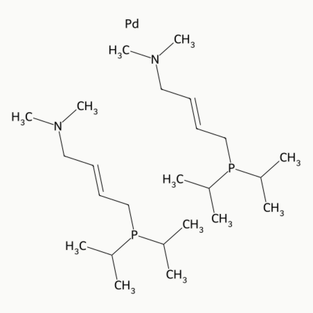 CC(C)P(CC=CCN(C)C)C(C)C.CC(C)P(CC=CCN(C)C)C(C)C.[Pd]